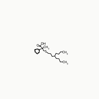 CCCCC(CCCC)CCCSCC(C)(C(=O)O)c1ccccc1